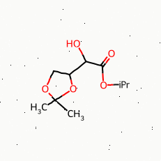 CC(C)OC(=O)C(O)C1COC(C)(C)O1